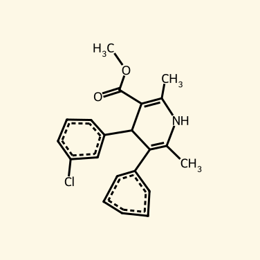 COC(=O)C1=C(C)NC(C)=C(c2ccccc2)C1c1cccc(Cl)c1